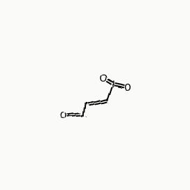 O=[C]C=CI(=O)=O